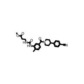 COC(=O)CCNC(=O)Nc1cc(C(=O)N2CCC(c3ccc(C#N)cc3)CC2)ccc1C